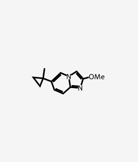 COc1cn2cc(C3(C)CC3)ccc2n1